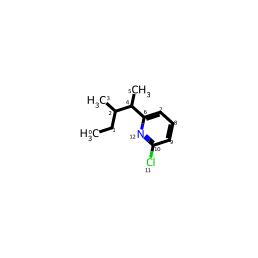 CCC(C)C(C)c1cccc(Cl)n1